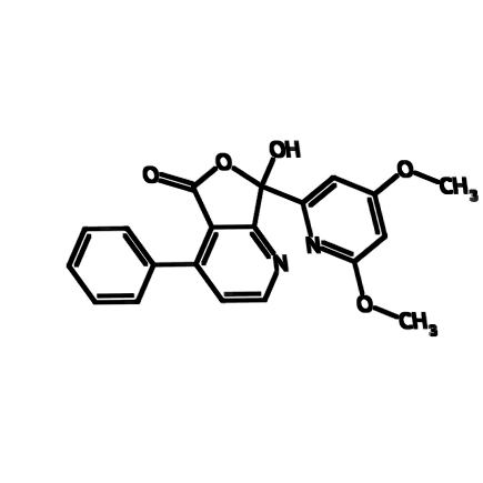 COc1cc(OC)nc(C2(O)OC(=O)c3c(-c4ccccc4)ccnc32)c1